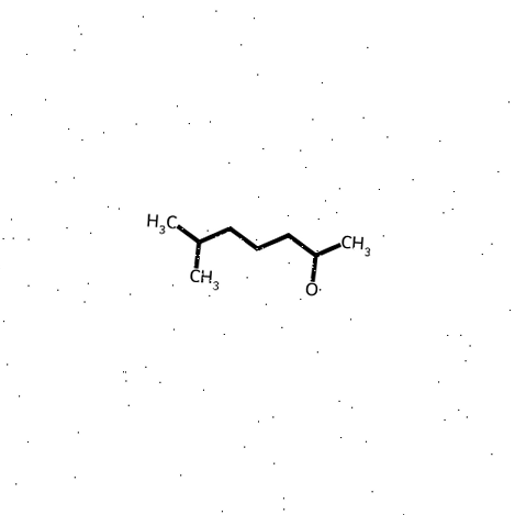 CC(C)CCCC(C)[O]